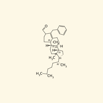 CC(C)CCC[C@@H](C)[C@H]1CC[C@H]2[C@@H]3CCC4=C(Cc5ccccc5)C(C=O)CC[C@]4(C)[C@H]3CC[C@]12C